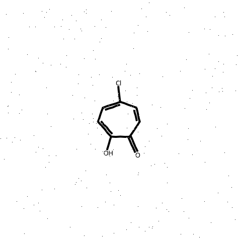 O=c1ccc(Cl)ccc1O